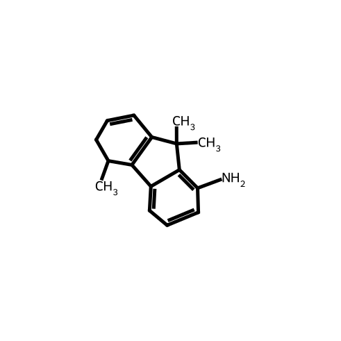 CC1CC=CC2=C1c1cccc(N)c1C2(C)C